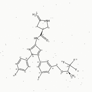 C=C1C[C@H](C(=O)Nc2cc(-c3cc(F)cc(CO[C@H](C)C(F)(F)F)c3)n(-c3ccc(F)cc3)n2)CN1